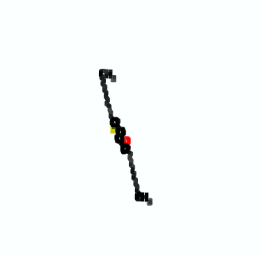 CCCCCCCCCCCCCCc1ccc2c(c1)oc1c2ccc2c1ccc1c3ccc(CCCCCCCCCCCCCC)cc3sc12